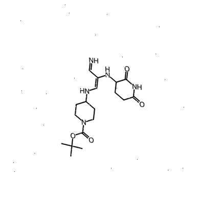 CC(C)(C)OC(=O)N1CCC(N/C=C(\C=N)NC2CCC(=O)NC2=O)CC1